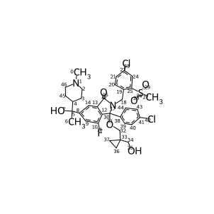 CN1CCC(C(C)(O)c2cc(F)c3c(c2)C(=O)N(Cc2ccc(Cl)cc2S(C)(=O)=O)C3(OCC2(CO)CC2)c2ccc(Cl)cc2)CC1